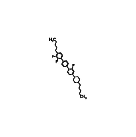 CCCCCc1ccc(-c2ccc(-c3ccc(C4CCC(CCCCC)CC4)cc3F)cc2)c(F)c1F